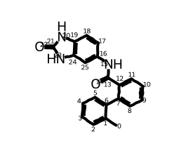 Cc1ccccc1-c1ccccc1C(=O)Nc1ccc2[nH]c(=O)[nH]c2c1